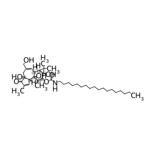 CCCCCCCCCCCCCCCCCCNC(=O)O[C@@H]1[C@@H](C)[C@@]2(O)[C@@H](C=C(CO)C[C@]3(O)C(=O)C(C)=C[C@@H]23)[C@H]2C(C)(C)[C@]12O